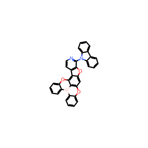 c1ccc2c(c1)Oc1cc3oc4c(-n5c6ccccc6c6ccccc65)nccc4c3c3c1B2c1ccccc1O3